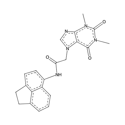 Cn1c(=O)c2c(ncn2CC(=O)Nc2ccc3c4c(cccc24)CC3)n(C)c1=O